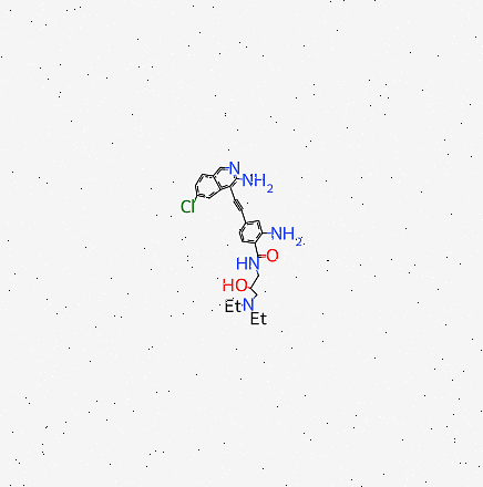 CCN(CC)CC(O)CNC(=O)c1ccc(C#Cc2c(N)ncc3ccc(Cl)cc23)cc1N